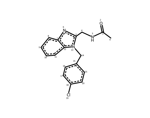 CC(=O)NCc1nc2ccccc2n1Cc1ccc(Cl)cc1